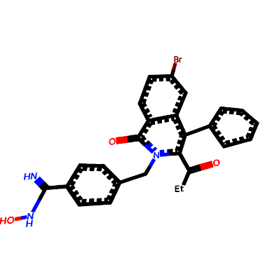 CCC(=O)c1c(-c2ccccc2)c2cc(Br)ccc2c(=O)n1Cc1ccc(C(=N)NO)cc1